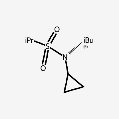 CC[C@@H](C)N(C1CC1)S(=O)(=O)C(C)C